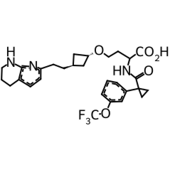 O=C(O)C(CCO[C@H]1C[C@H](CCc2ccc3c(n2)NCCC3)C1)NC(=O)C1(c2cccc(OC(F)(F)F)c2)CC1